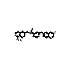 Nc1nccc2cc(CNC(=O)c3ccnc(Cc4ccc5ncc(F)cc5c4)c3)ccc12